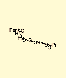 CCCC(C)C(=O)NCC(F)C(C)(C)OCCOCCOCCOCCOCC(=O)C(C)C